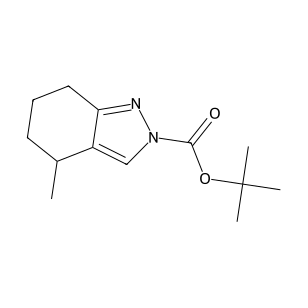 CC1CCCc2nn(C(=O)OC(C)(C)C)cc21